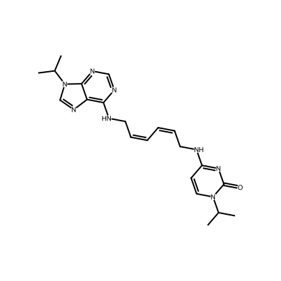 CC(C)n1ccc(NC/C=C\C=C/CNc2ncnc3c2ncn3C(C)C)nc1=O